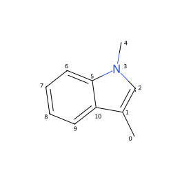 Cc1[c]n(C)c2ccccc12